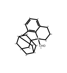 Cc1cccc2c1[N+](C=O)(C13CC4CC(CC(C4)C1)C3)CCC2